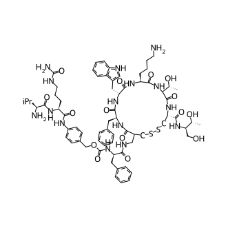 CC(C)[C@H](N)C(=O)N[C@@H](CCCNC(N)=O)C(=O)Nc1ccc(COC(=O)N[C@H](Cc2ccccc2)C(=O)NCC2CSSC[C@@H](C(=O)N[C@H](CO)[C@@H](C)O)NC(=O)C([C@@H](C)O)NC(=O)[C@H](CCCCN)NC(=O)[C@@H](Cc3c[nH]c4ccccc34)NC(=O)[C@H](Cc3ccccc3)NC2=O)cc1